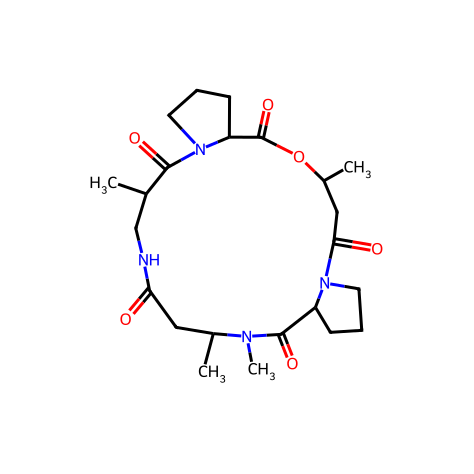 CC1CC(=O)N2CCCC2C(=O)N(C)C(C)CC(=O)NCC(C)C(=O)N2CCCC2C(=O)O1